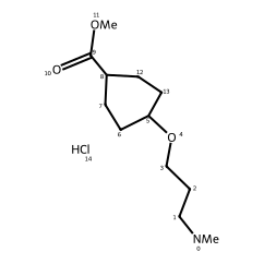 CNCCCOC1CCC(C(=O)OC)CC1.Cl